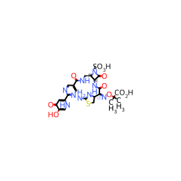 CC(C)(O/N=C(\C(=O)N[C@@H]1C(=O)N(S(=O)(=O)O)[C@@H]1CNC(=O)c1cnc(-c2cc(=O)c(O)c[nH]2)nc1)C1CSC(N)=N1)C(=O)O